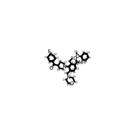 CCc1c(C(=O)Nc2ccccc2OC)ccc(CN2CCOCC2)c1N1CCC(C(=O)c2ccc(F)cc2)CC1